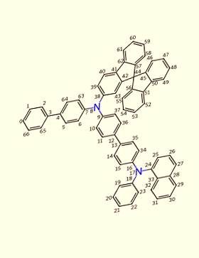 c1ccc(-c2ccc(N(c3ccc(-c4ccc(N(c5ccccc5)c5cccc6ccccc56)cc4)cc3)c3ccc4c(c3)C3(c5ccccc5-c5ccccc53)c3ccccc3-4)cc2)cc1